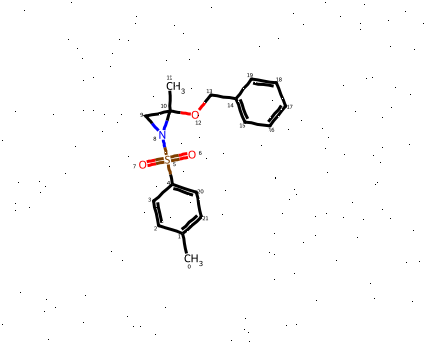 Cc1ccc(S(=O)(=O)N2CC2(C)OCc2ccccc2)cc1